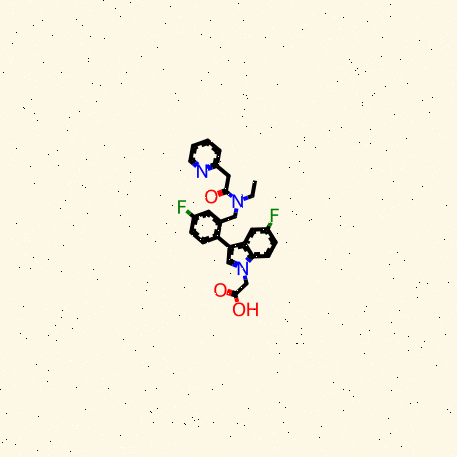 CCN(Cc1cc(F)ccc1-c1cn(CC(=O)O)c2ccc(F)cc12)C(=O)Cc1ccccn1